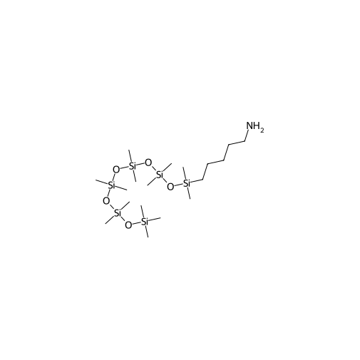 C[Si](C)(C)O[Si](C)(C)O[Si](C)(C)O[Si](C)(C)O[Si](C)(C)O[Si](C)(C)CCCCCN